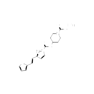 CC(C)(C)OC(=O)N1CCC(OC(=O)n2ccc(/C=C/c3cccs3)n2)CC1